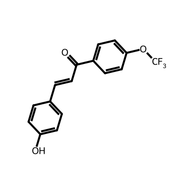 O=C(C=Cc1ccc(O)cc1)c1ccc(OC(F)(F)F)cc1